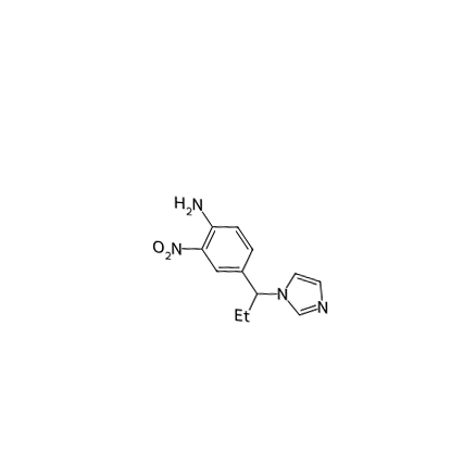 CCC(c1ccc(N)c([N+](=O)[O-])c1)n1ccnc1